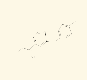 Cc1ccc(Oc2cccc([C@H](N)CC(=O)O)c2)cc1